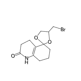 O=C1CCC2=C(CCCC23OCC(CBr)O3)N1